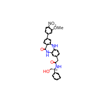 COc1cc(-c2ccc3c(c2)Nc2ccc(CC(=O)N[C@H](CO)c4ccccc4)cc2NC3=O)ccc1[N+](=O)[O-]